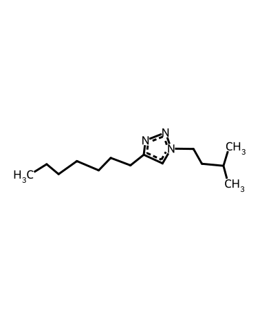 CCCCCCCc1cn(CCC(C)C)nn1